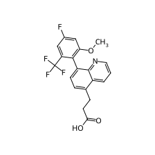 COc1cc(F)cc(C(F)(F)F)c1-c1ccc(CCC(=O)O)c2cccnc12